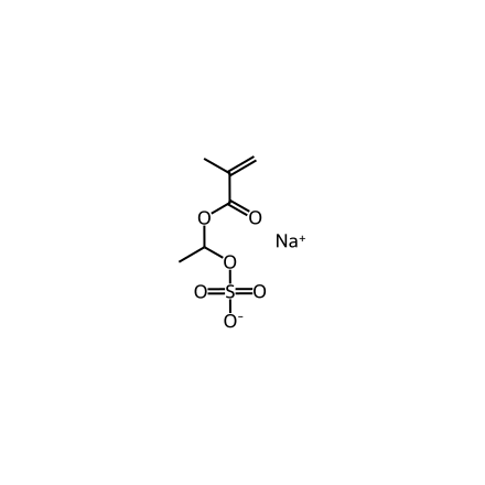 C=C(C)C(=O)OC(C)OS(=O)(=O)[O-].[Na+]